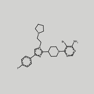 Nc1ncnc(N2CCC(c3nc(-c4ccc(F)cc4)cn3CCN3CCCC3)CC2)c1Br